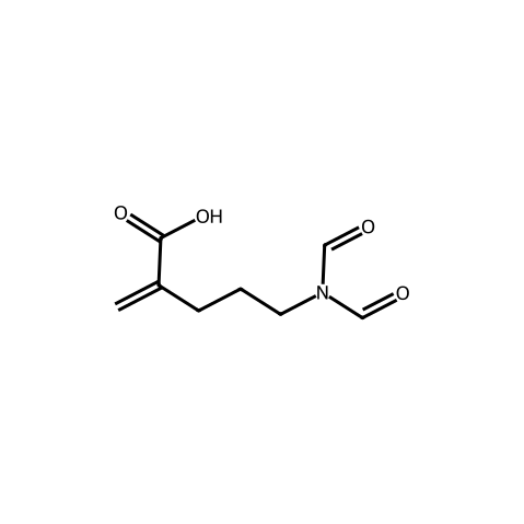 C=C(CCCN(C=O)C=O)C(=O)O